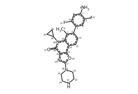 Cc1c(-c2cc(F)c(N)cc2F)ccc2c3oc(N4CCNCC4)nc3c(=O)n(C3CC3)c12